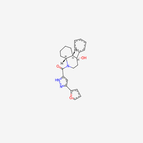 O=C(c1cc(-c2ccco2)n[nH]1)N1CC[C@](O)(c2ccccc2)[C@H]2CCCC[C@H]21